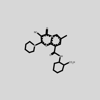 Cc1cc(C(=O)NC2CCCCC2C(=O)O)c2nc(N3CCCCC3)c(C#N)c(=O)n2c1